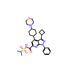 CN(C)S(=O)(=O)NC(=O)c1cc(C2CCC(N3CCOCC3)CC2)c2c(C3CCC3)nn(-c3ccccc3)c2n1